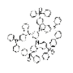 O=P(c1ccccc1)(c1ccccc1)c1ccc2c(c1)c1cc(P(c3ccccc3)c3ccccc3)ccc1n2-c1cc(-n2c3ccccc3c3cc(P(c4ccccc4)c4ccccc4)ccc32)cc(-n2c3ccc(P(=O)(c4ccccc4)c4ccccc4)cc3c3cc(P(=O)(c4ccccc4)c4ccccc4)ccc32)c1